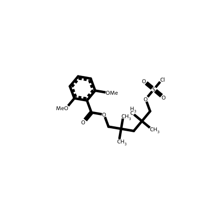 COc1cccc(OC)c1C(=O)OCC(C)(C)CC(C)(C)COS(=O)(=O)Cl